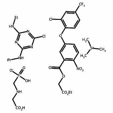 CCNc1nc(Cl)nc(NC(C)C)n1.CCOC(=O)COC(=O)c1cc(Oc2ccc(C(F)(F)F)cc2Cl)ccc1[N+](=O)[O-].C[S+](C)C.O=C(O)CNCP(=O)([O-])O